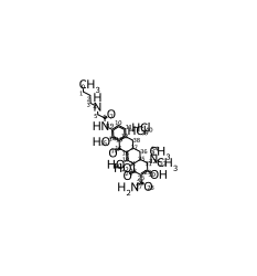 CCCCNCC(=O)Nc1ccc2c(c1O)C(=O)C1=C(O)C3(O)C(=O)C(C(N)=O)=C(O)[C@@H](N(C)C)C3CC1C2.Cl.Cl